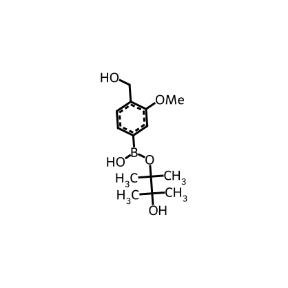 COc1cc(B(O)OC(C)(C)C(C)(C)O)ccc1CO